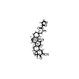 CN(C[C@@]1(C)CC[C@]2(C)CC[C@@]3(C)[C@]4(C)CC[C@H]5C(C)(C)C(=O)C(C#N)=C[C@]5(C)C4=CC(=O)[C@]3(O)[C@@H]2C1)C(=O)c1ccno1